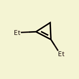 CCC1=C(CC)C1